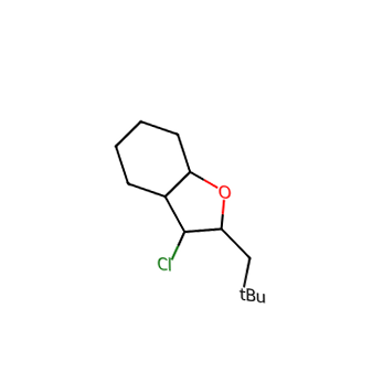 CC(C)(C)CC1OC2CCCCC2C1Cl